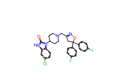 O=c1[nH]c2cc(Cl)ccc2n1C1CCN(CC2=NOC(c3ccc(F)cc3)(c3ccc(F)cc3)C2)CC1